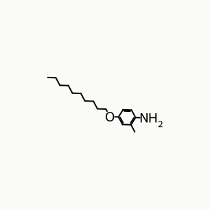 CCCCCCCCCCOc1ccc(N)c(C)c1